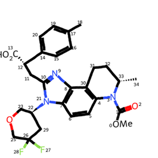 COC(=O)N1c2ccc3c(nc(C[C@H](C(=O)O)c4ccc(C)cc4)n3[C@@H]3COCC(F)(F)C3)c2CC[C@@H]1C